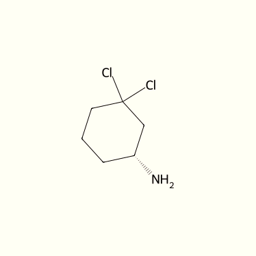 N[C@@H]1CCCC(Cl)(Cl)C1